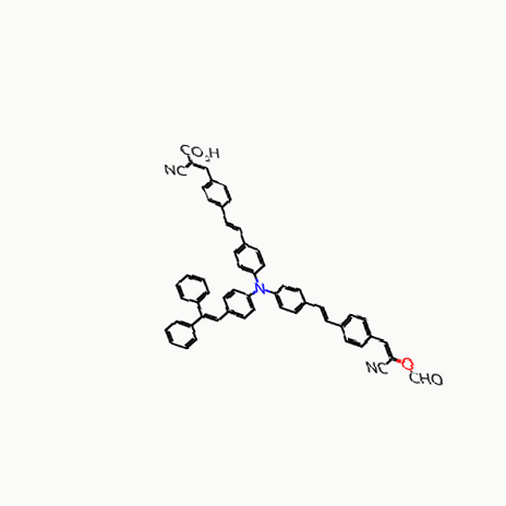 N#C/C(=C\c1ccc(/C=C/c2ccc(N(c3ccc(C=C(c4ccccc4)c4ccccc4)cc3)c3ccc(/C=C/c4ccc(/C=C(\C#N)C(=O)O)cc4)cc3)cc2)cc1)OC=O